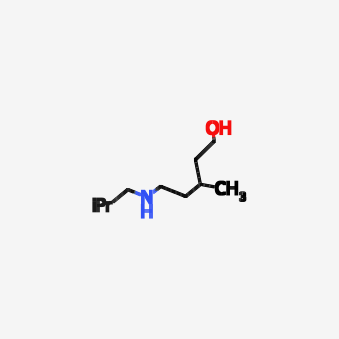 CC(C)CNCCC(C)CCO